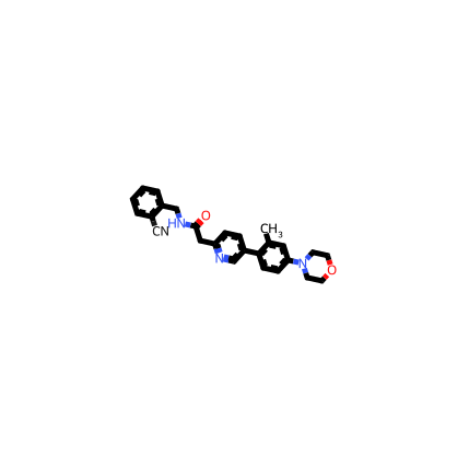 Cc1cc(N2CCOCC2)ccc1-c1ccc(CC(=O)NCc2ccccc2C#N)nc1